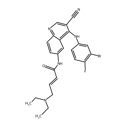 CCN(CC)CC=CC(=O)Nc1ccc2ncc(C#N)c(Nc3ccc(F)c(Br)c3)c2c1